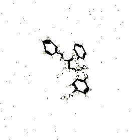 C[C@@H](NP(=O)(Oc1ccccc1)Oc1ccc([N+](=O)[O-])cc1)C(=O)OCc1ccccc1